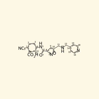 N#Cc1ccc(NC(=O)c2cc(CNCc3ccncc3)on2)c(C(=O)O)c1